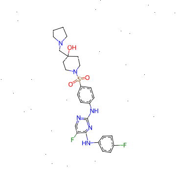 O=S(=O)(c1ccc(Nc2ncc(F)c(Nc3ccc(F)cc3)n2)cc1)N1CCC(O)(CN2CCCC2)CC1